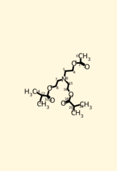 CC(=O)OCCN(CCOC(=O)C(C)C)CCOC(=O)C(C)C